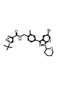 Cc1cc(-c2nn(C3CCCCO3)c3ncc(Br)cc23)ccc1CNC(=O)c1cn(C(C)(C)C)nn1